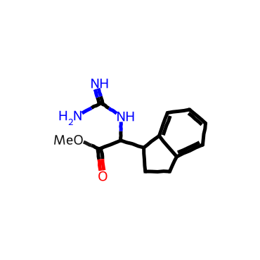 COC(=O)C(NC(=N)N)C1CCc2ccccc21